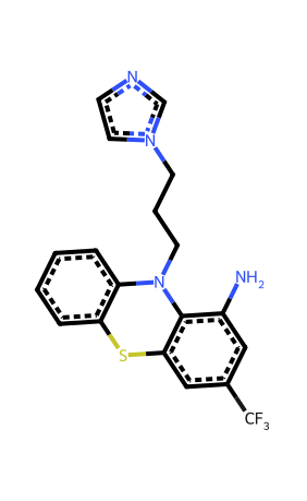 Nc1cc(C(F)(F)F)cc2c1N(CCCn1ccnc1)c1ccccc1S2